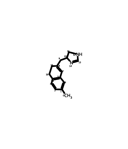 Cc1ccc2c(c1)C=C(CC1CNC=N1)CC2